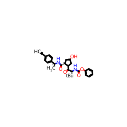 C#Cc1ccc([C@H](C)NC(=O)[C@@H]2C[C@@H](O)CC2C(=O)[C@@H](NC(=O)Oc2ccccc2)C(C)(C)C)cc1